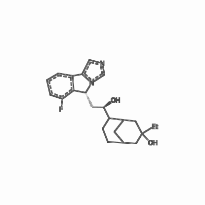 CCC1(O)CC2CCC([C@H](O)C[C@@H]3c4c(F)cccc4-c4cncn43)C(C2)C1